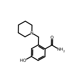 NC(=O)c1ccc(O)cc1CN1CCCCC1